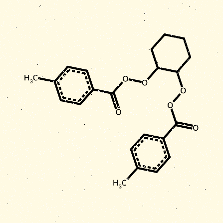 Cc1ccc(C(=O)OO[C]2CCC[CH]C2OOC(=O)c2ccc(C)cc2)cc1